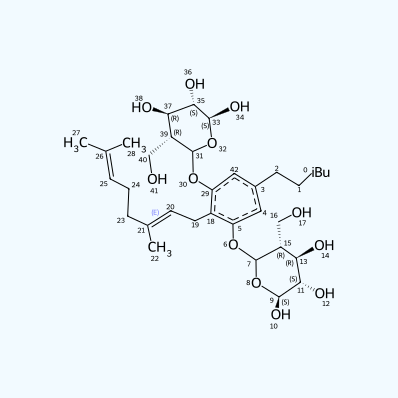 CCC(C)CCc1cc(OC2O[C@H](O)[C@@H](O)[C@H](O)[C@H]2CO)c(C/C=C(\C)CCC=C(C)C)c(OC2O[C@H](O)[C@@H](O)[C@H](O)[C@H]2CO)c1